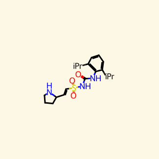 CC(C)c1cccc(C(C)C)c1NC(=O)NS(=O)(=O)/C=C/C1CCCN1